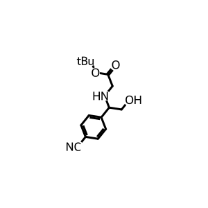 CC(C)(C)OC(=O)CNC(CO)c1ccc(C#N)cc1